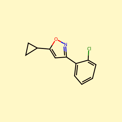 Clc1ccccc1-c1cc(C2CC2)on1